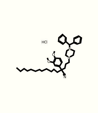 CCCCCCCCCCCCC(C#N)(CCCN1CCN(C(c2ccccc2)c2ccccc2)CC1)c1ccc(OC)c(OC)c1.Cl